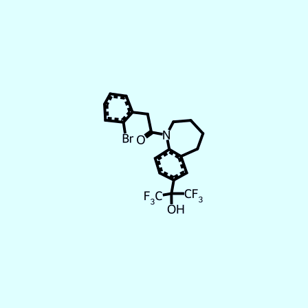 O=C(Cc1ccccc1Br)N1CCCCc2cc(C(O)(C(F)(F)F)C(F)(F)F)ccc21